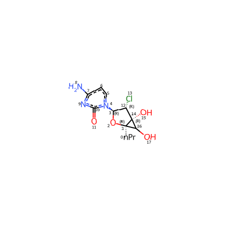 CCC[C@]12O[C@@H](n3ccc(N)nc3=O)[C@H](Cl)[C@@]1(O)C2O